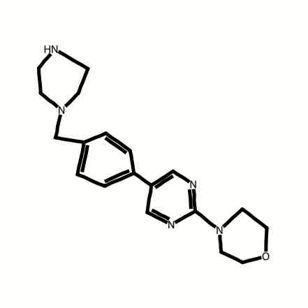 c1cc(-c2cnc(N3CCOCC3)nc2)ccc1CN1CCNCC1